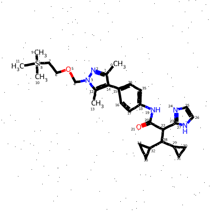 Cc1nn(COCC[Si](C)(C)C)c(C)c1-c1ccc(NC(=O)C(c2ncc[nH]2)C(C2CC2)C2CC2)cc1